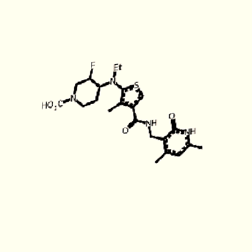 CCN(c1scc(C(=O)NCc2c(C)cc(C)[nH]c2=O)c1C)C1CCN(C(=O)O)CC1F